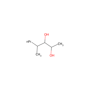 CCCC(C)C(O)C(C)O